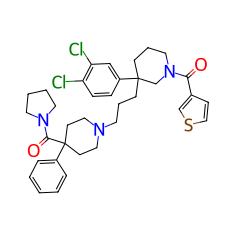 O=C(c1ccsc1)N1CCCC(CCCN2CCC(C(=O)N3CCCC3)(c3ccccc3)CC2)(c2ccc(Cl)c(Cl)c2)C1